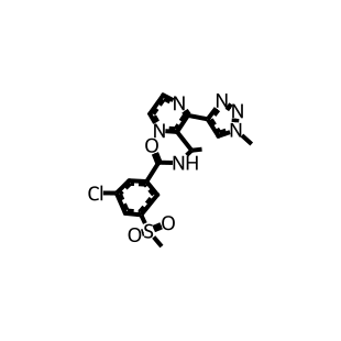 CC(NC(=O)c1cc(Cl)cc(S(C)(=O)=O)c1)c1nccnc1-c1cn(C)nn1